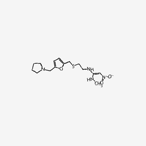 CNC(=C[N+](=O)[O-])NCCSCc1ccc(CN2CCCC2)o1